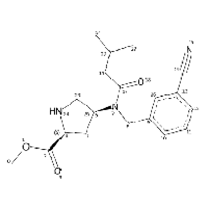 COC(=O)[C@@H]1C[C@H](N(Cc2cccc(C#N)c2)C(=O)CC(C)C)CN1